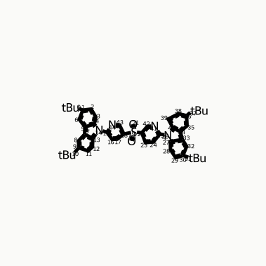 CC(C)(C)c1ccc2c(c1)c1cc(C(C)(C)C)ccc1n2-c1ccc(S(=O)(=O)c2ccc(-n3c4ccc(C(C)(C)C)cc4c4cc(C(C)(C)C)ccc43)nc2)cn1